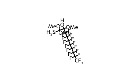 COC([SiH3])(OC)C(O)(OC)C(F)(F)C(F)(F)C(F)(F)C(F)(F)C(F)(F)C(F)(F)C(F)(F)C(F)(F)F